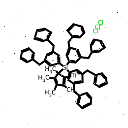 CC1=C(C)C(C)([Si](c2cc(Cc3ccccc3)cc(Cc3ccccc3)c2)(c2cc(Cc3ccccc3)cc(Cc3ccccc3)c2)c2cc(Cc3ccccc3)cc(Cc3ccccc3)c2)[C]([Ti+3])=C1C.[Cl-].[Cl-].[Cl-]